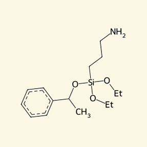 CCO[Si](CCCN)(OCC)OC(C)c1ccccc1